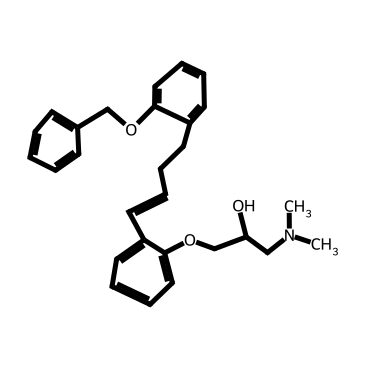 CN(C)CC(O)COc1ccccc1C=CCCc1ccccc1OCc1ccccc1